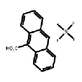 C[Si](F)(F)F.O=C(O)c1c2ccccc2cc2ccccc12